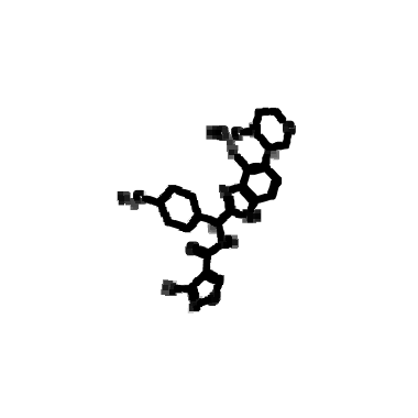 CCc1nocc1C(=O)N[C@H](c1nc2c(F)c([C@@H]3COCCN3C(=O)O)ccc2[nH]1)C1CCC(C)CC1